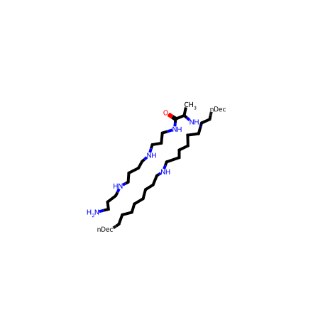 CC(N)C(=O)NCCCNCCCCNCCCN.CCCCCCCCCCCCCCCCCCNCCCCCCCCCCCCCCCCCC